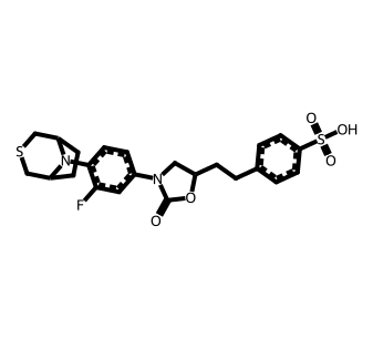 O=C1OC(CCc2ccc(S(=O)(=O)O)cc2)CN1c1ccc(N2C3CCC2CSC3)c(F)c1